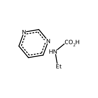 CCNC(=O)O.c1cncnc1